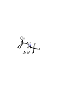 CC(C)(C)/N=N/C(=O)[O-].[Na+]